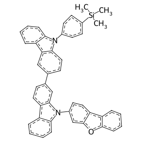 C[Si](C)(C)c1ccc(-n2c3ccccc3c3cc(-c4ccc5c6ccccc6n(-c6ccc7c(c6)oc6ccccc67)c5c4)ccc32)cc1